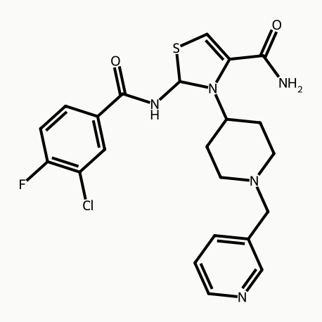 NC(=O)C1=CSC(NC(=O)c2ccc(F)c(Cl)c2)N1C1CCN(Cc2cccnc2)CC1